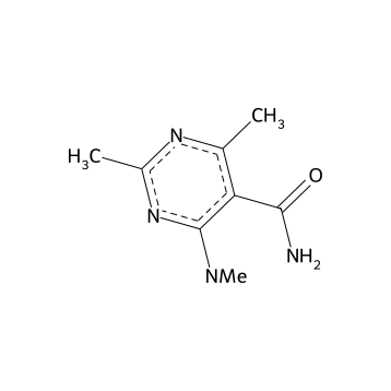 CNc1nc(C)nc(C)c1C(N)=O